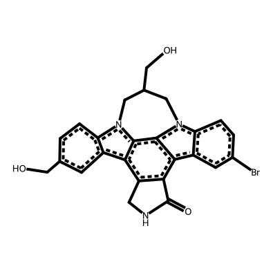 O=C1NCc2c1c1c3cc(Br)ccc3n3c1c1c2c2cc(CO)ccc2n1CC(CO)C3